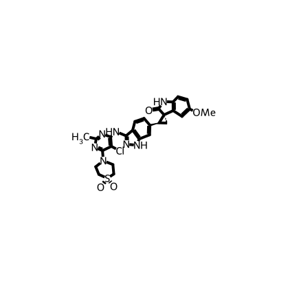 COc1ccc2c(c1)[C@]1(C[C@H]1c1ccc3c(Nc4nc(C)nc(N5CCS(=O)(=O)CC5)c4Cl)n[nH]c3c1)C(=O)N2